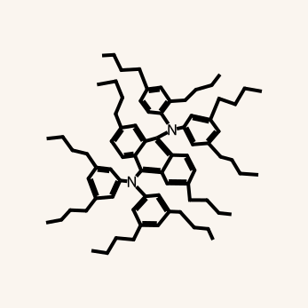 CCCCc1cc(CCCC)cc(N(c2cc(CCCC)cc(CCCC)c2)c2c3cc(CCCC)ccc3c(N(c3cc(CCCC)cc(CCCC)c3)c3ccc(CCCC)cc3CCCC)c3cc(CCCC)ccc23)c1